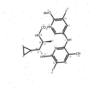 COc1ncc(Nc2nc(N[C@H](C3CC3)[C@H](C)NC(=O)O)c(F)cc2C#N)cc1F